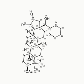 CC(=O)O[C@H]1CC[C@]2(C)[C@H]3CC[C@@H]4C5=C(C(C)C)C(=O)C[C@]5(C(O)C5SCCCS5)CC[C@@]4(C)[C@]3(C)CC[C@H]2C1(C)C